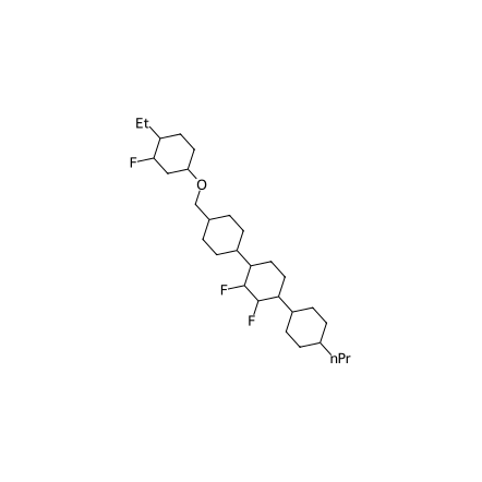 CCCC1CCC(C2CCC(C3CCC(COC4CCC(CC)C(F)C4)CC3)C(F)C2F)CC1